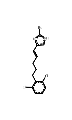 CCc1nc(C=CCCCc2c(Cl)cccc2Cl)c[nH]1